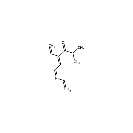 C=C/N=C\C=C(/C=C)C(=O)C(C)C